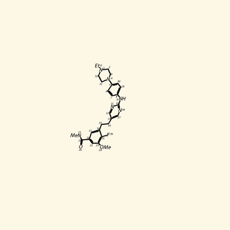 CCN1CCN(c2ccc(Nc3ncc(CCc4cc(C(=O)NC)cc(OC)c4F)cn3)cc2)CC1